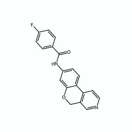 O=C(Nc1ccc2c(c1)OCc1cnccc1-2)c1ccc(F)cc1